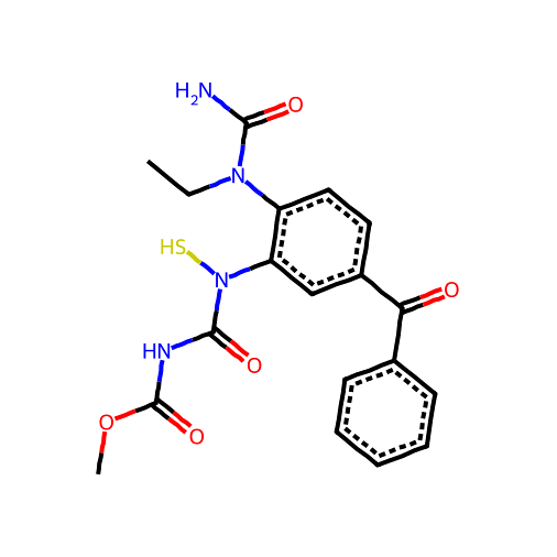 CCN(C(N)=O)c1ccc(C(=O)c2ccccc2)cc1N(S)C(=O)NC(=O)OC